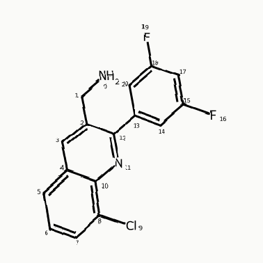 NCc1cc2cccc(Cl)c2nc1-c1cc(F)cc(F)c1